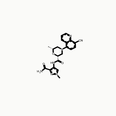 C[C@@H]1CN(c2ccc(C#N)c3ncccc23)C[C@H](C(=O)Nc2cn(C)nc2C(N)=O)O1